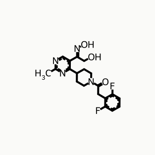 Cc1ncc(C(CO)=NO)c(C2CCN(C(=O)Cc3c(F)cccc3F)CC2)n1